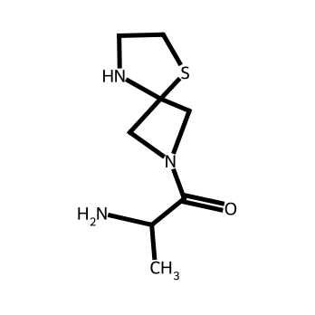 CC(N)C(=O)N1CC2(C1)NCCS2